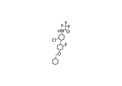 O=C(Nc1ccc(-c2ccc(OCc3ccccc3)cc2F)c(Cl)c1)C(F)(F)F